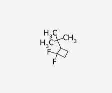 CC(C)(C)C1CCC1(F)F